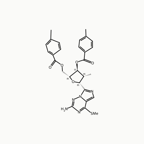 CSc1nc(N)nn2c([C@@H]3O[C@H](COC(=O)c4ccc(C)cc4)[C@@H](OC(=O)c4ccc(C)cc4)[C@@H]3C)ncc12